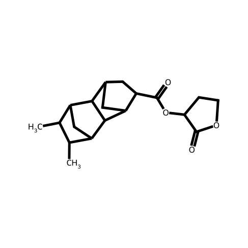 CC1C(C)C2CC1C1C3CC(C(=O)OC4CCOC4=O)C(C3)C21